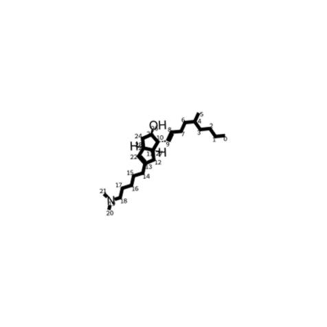 CCCCC(C)CC/C=C/[C@@H]1[C@H]2CC(CCCCCN(C)C)=C[C@H]2C[C@H]1O